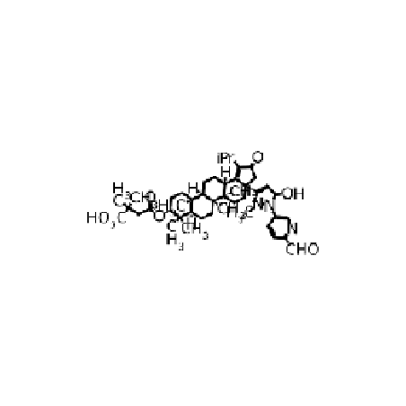 CC(C)C1=C2[C@H]3CC[C@@H]4[C@@]5(C)CC[C@H](OC(=O)CC(C)(C)C(=O)O)C(C)(C)[C@@H]5CC[C@@]4(C)[C@]3(C)CC[C@@]2(C2=CC(O)N(c3ccc(C=O)nc3)N2C)CC1=O